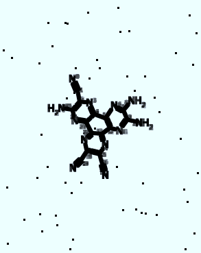 N#Cc1nc2c3nc(N)c(N)nc3c3nc(C#N)c(C#N)nc3c2nc1N